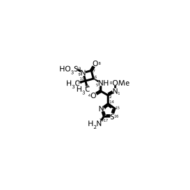 CO/N=C(\C(=O)N[C@@H]1C(=O)N(S(=O)(=O)O)C1(C)C)c1csc(N)n1